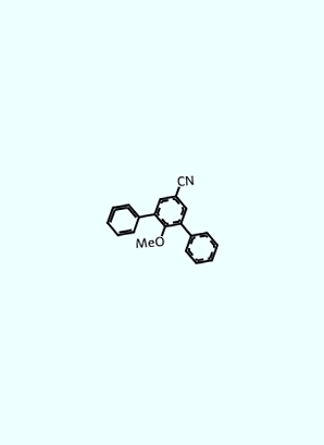 COc1c(C2=C=C=CC=C2)cc(C#N)cc1-c1ccccc1